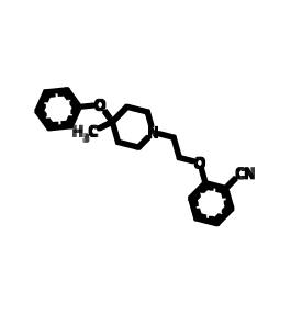 CC1(Oc2ccccc2)CCN(CCOc2ccccc2C#N)CC1